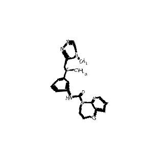 C[C@H](Cc1nncn1C)c1cccc(NC(=O)N2CCOc3cccnc32)c1